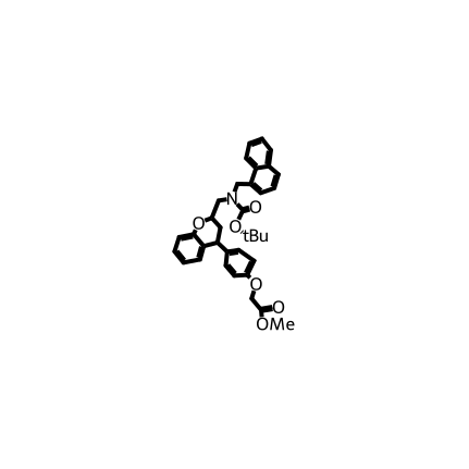 COC(=O)COc1ccc(C2CC(CN(Cc3cccc4ccccc34)C(=O)OC(C)(C)C)Oc3ccccc32)cc1